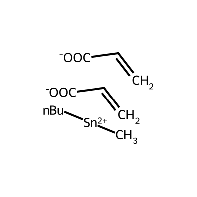 C=CC(=O)[O-].C=CC(=O)[O-].CCC[CH2][Sn+2][CH3]